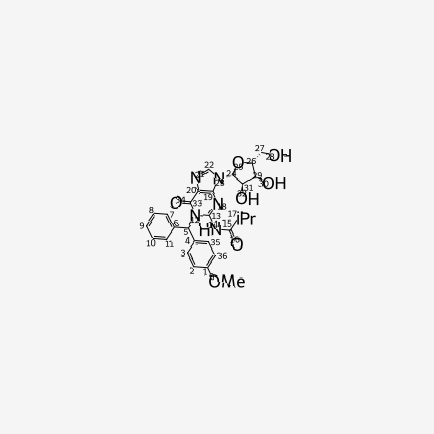 COc1ccc(C(c2ccccc2)n2c(NC(=O)C(C)C)nc3c(ncn3[C@@H]3O[C@H](CO)[C@@H](O)[C@H]3O)c2=O)cc1